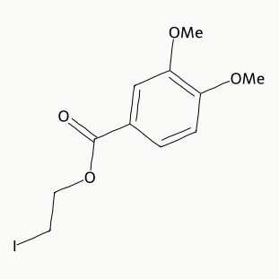 COc1ccc(C(=O)OCCI)cc1OC